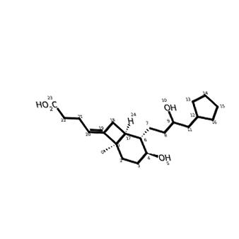 C[C@@]12CC[C@H](O)[C@@H](CCC(O)CC3CCCC3)[C@@H]1CC2=CCCC(=O)O